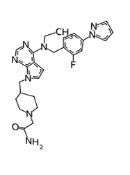 CCN(Cc1ccc(-n2cccn2)cc1F)c1ncnc2c1ccn2CC1CCN(CC(N)=O)CC1